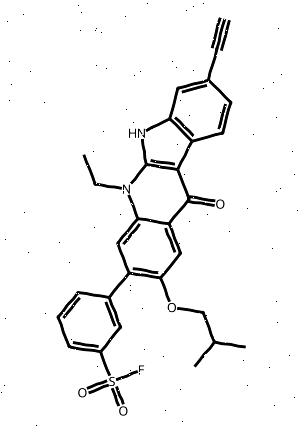 C#Cc1ccc2c(c1)[nH]c1c2c(=O)c2cc(OCC(C)C)c(-c3cccc(S(=O)(=O)F)c3)cc2n1CC